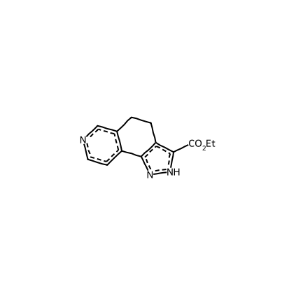 CCOC(=O)c1[nH]nc2c1CCc1cnccc1-2